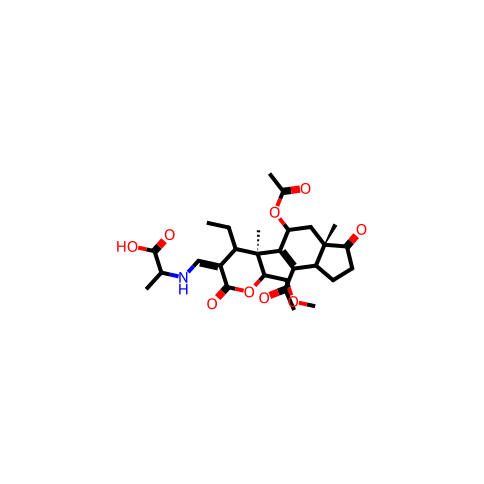 CCC1/C(=C/NC(C)C(=O)O)C(=O)OC(COC)[C@]1(C)C1=C(C(C)=O)C2CCC(=O)[C@@]2(C)CC1OC(C)=O